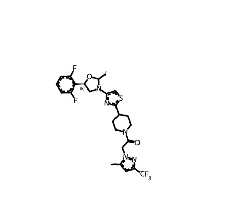 Cc1cc(C(F)(F)F)nn1CC(=O)N1CCC(c2nc(N3C[C@@H](c4c(F)cccc4F)OC3I)cs2)CC1